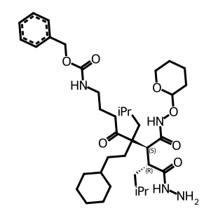 CC(C)C[C@@H](C(=O)NN)[C@H](C(=O)NOC1CCCCO1)C(CCC1CCCCC1)(CC(C)C)C(=O)CCCNC(=O)OCc1ccccc1